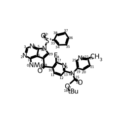 CNc1ncnc2c1c(C(=O)c1ccc(N(C(=O)OC(C)(C)C)c3ccc(C)nc3)nc1F)cn2[S+]([O-])c1ccccc1